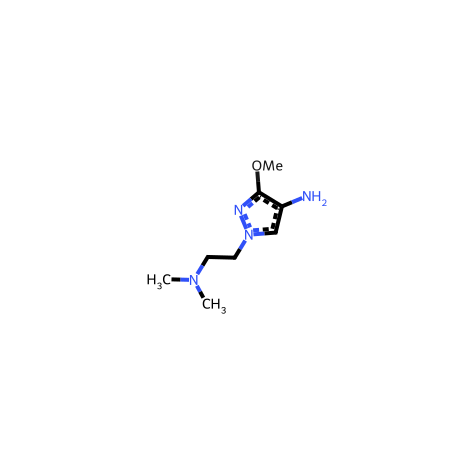 COc1nn(CCN(C)C)cc1N